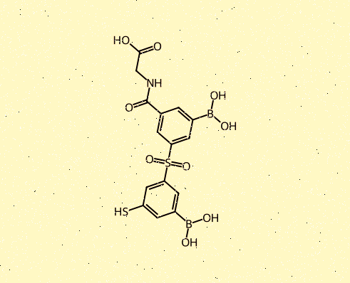 O=C(O)CNC(=O)c1cc(B(O)O)cc(S(=O)(=O)c2cc(S)cc(B(O)O)c2)c1